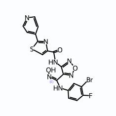 O=C(Nc1nonc1/C(=N\O)Nc1ccc(F)c(Br)c1)c1csc(-c2ccncc2)n1